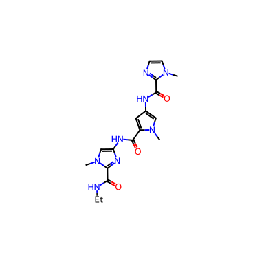 CCNC(=O)c1nc(NC(=O)c2cc(NC(=O)c3nccn3C)cn2C)cn1C